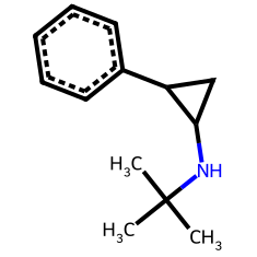 CC(C)(C)NC1CC1c1ccccc1